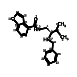 CC(C)[C@@H](CNC(=O)c1cccc2occc12)NCc1ccccc1